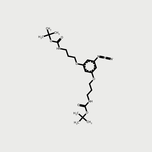 CC(C)(C)OC(=O)NCCCOc1cc(N=[N+]=[N-])cc(OCCCNC(=O)OC(C)(C)C)c1